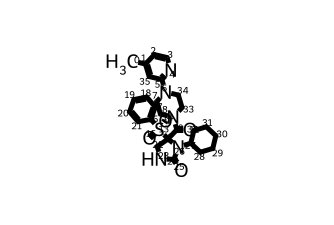 Cc1ccnc(N2CCN(C(=O)C3(S(=O)(=O)c4ccccc4)CNC(=O)N3C3CCCCC3)CC2)c1